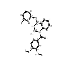 COc1ccc(C(=O)N2c3ccccc3[C@H](Nc3cccc(C)n3)C[C@H]2C)cc1OC